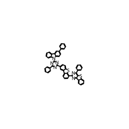 c1ccc(-c2ccc3c(c2)c2ccccc2n3-c2nc(-c3ccccc3)nc(-c3ccc4sc5c(-c6nc(-c7ccccc7)c7sc8ccccc8c7n6)cccc5c4c3)n2)cc1